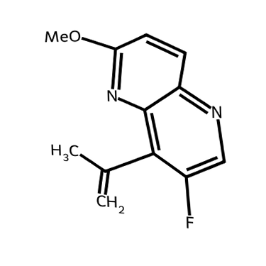 C=C(C)c1c(F)cnc2ccc(OC)nc12